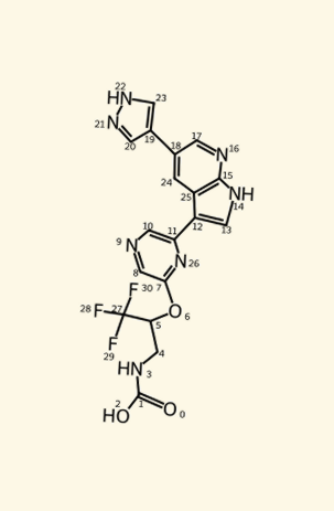 O=C(O)NCC(Oc1cncc(-c2c[nH]c3ncc(-c4cn[nH]c4)cc23)n1)C(F)(F)F